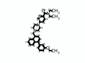 CCOc1cccc(-c2ccc(CN3CCN(c4ccc(C(=O)N(CC)CC)nn4)CC3)c3ccccc23)c1